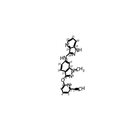 C#Cc1cccc(Oc2nn(C)c3cc(Nc4n[nH]c5cccnc45)ccc23)n1